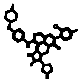 Cc1ccc(-c2cc3cnc(Nc4ccc(OC5CCN(C)CC5)cc4)nc3n(CC3=C(C4CCNC4)N(C)NN3)c2=O)c(Cl)c1